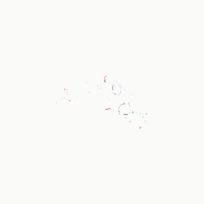 CCn1nc(C(=O)NC[C@H]2CC[C@@H](S(C)(=O)=O)CC2)c(Cl)c1-c1cnc(O[C@H](C)C(F)(F)F)cc1OC